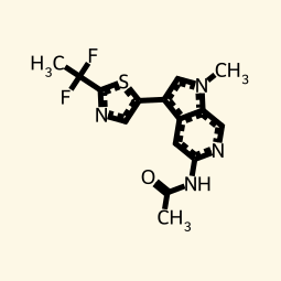 CC(=O)Nc1cc2c(-c3cnc(C(C)(F)F)s3)cn(C)c2cn1